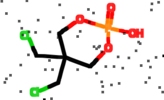 O=P1(O)OCC(CCl)(CCl)CO1